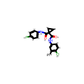 CC(C)c1cc(NC(=O)C2(C(=O)Nc3ccc(F)cc3)CC2)ccc1Cl